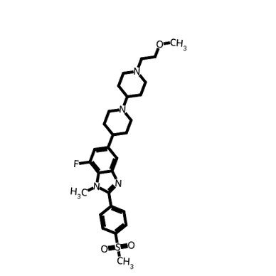 COCCN1CCC(N2CCC(c3cc(F)c4c(c3)nc(-c3ccc(S(C)(=O)=O)cc3)n4C)CC2)CC1